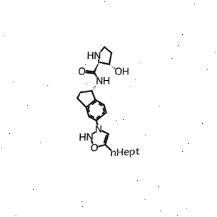 CCCCCCCC1=CN(c2ccc3c(c2)CC[C@@H]3NC(=O)[C@H]2NCC[C@@H]2O)NO1